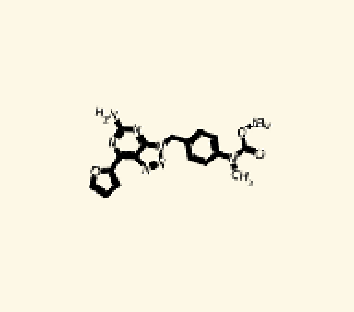 CN(C(=O)OC(C)(C)C)c1ccc(Cn2nnc3c(-c4ccco4)nc(N)nc32)cc1